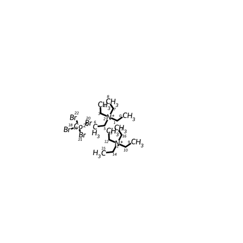 CC[N+](CC)(CC)CC.CC[N+](CC)(CC)CC.[Br][Co-2]([Br])([Br])[Br]